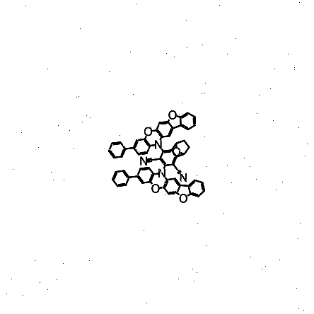 N#Cc1c2c(c(N3c4ccc(-c5ccccc5)cc4Oc4cc5oc6ccccc6c5cc43)c(C#N)c1N1c3ccc(-c4ccccc4)cc3Oc3cc4oc5ccccc5c4cc31)C1CCC2O1